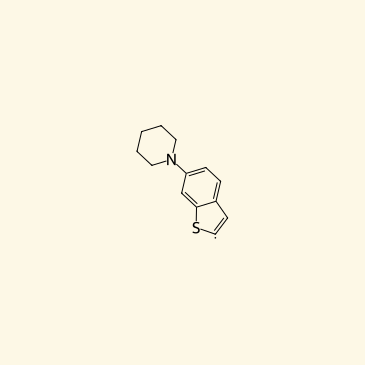 [c]1cc2ccc(N3CCCCC3)cc2s1